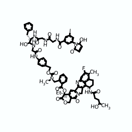 CC[C@@]1(OC(=O)c2ccccc2CN(C)C(=O)OCc2ccc(NC(=O)CNC(O)[C@H](Cc3ccccc3)NC(=O)CNC(=O)CNC(=O)c3cc(I)cc(N4C(=O)C=CC4O)c3)cc2)C(=O)OCc2c1cc1n(c2=O)Cc2c-1nc1cc(F)c(C)c3c1c2[C@@H](NC(=O)CCC(C)O)CC3